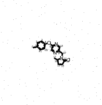 Cc1ccc(Oc2cnc(CN3C(=O)CCC3C)cn2)cc1